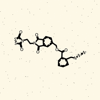 [N-]=[N+]=NCc1ccccc1C(=O)OCc1ccc2c(c1)C(=O)N(CCn1c(=O)ssc1=O)C2=O